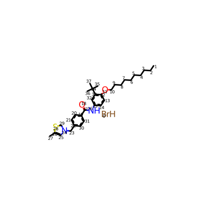 Br.CCCCCCCCCCOc1ccc(NC(=O)c2ccc(CN3C=C(C)SC3)cc2)cc1C(C)(C)C